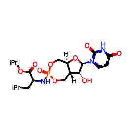 CC(C)CC(NP1(=O)OC[C@H]2[C@@H](O)[C@H](n3ccc(=O)[nH]c3=O)O[C@@H]2CO1)C(=O)OC(C)C